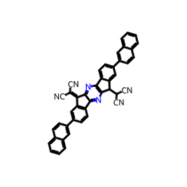 N#CC(C#N)=C1c2cc(-c3ccc4ccccc4c3)ccc2-c2nc3c(nc21)-c1ccc(-c2ccc4ccccc4c2)cc1C3C(C#N)C#N